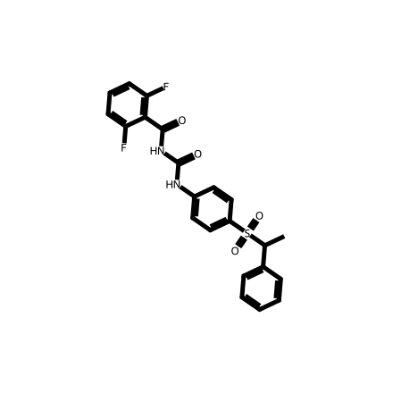 CC(c1ccccc1)S(=O)(=O)c1ccc(NC(=O)NC(=O)c2c(F)cccc2F)cc1